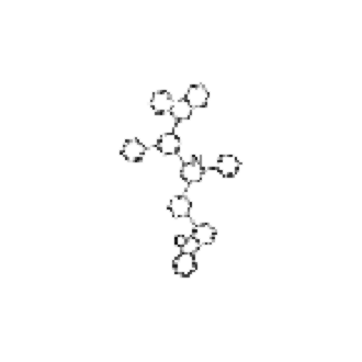 c1ccc(-c2cc(-c3cc(-c4cccc(-c5cccc6c5oc5ccccc56)c4)cc(-c4ccccc4)n3)cc(-c3cc4ccccc4c4ccccc34)c2)cc1